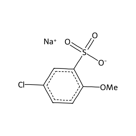 COc1ccc(Cl)cc1S(=O)(=O)[O-].[Na+]